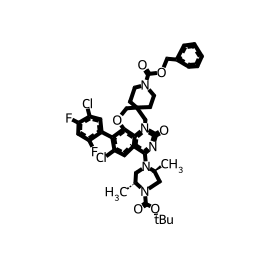 C[C@@H]1CN(c2nc(=O)n3c4c(c(-c5cc(Cl)c(F)cc5F)c(Cl)cc24)OCC2(CCN(C(=O)OCc4ccccc4)CC2)C3)[C@@H](C)CN1C(=O)OC(C)(C)C